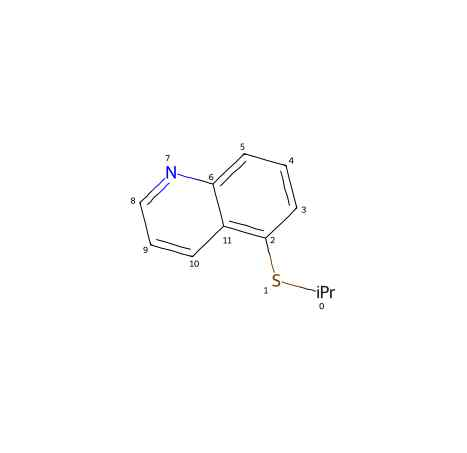 CC(C)Sc1cccc2ncccc12